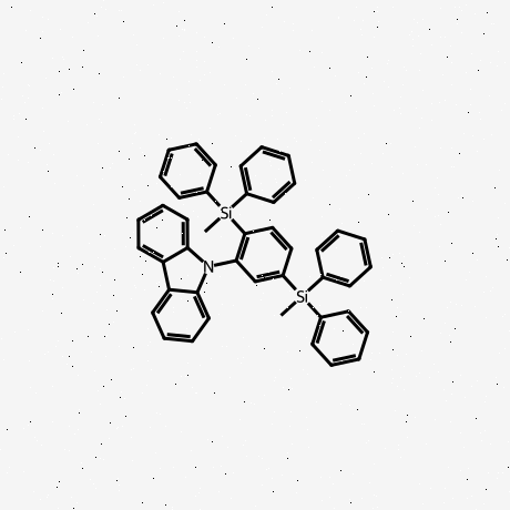 C[Si](c1ccccc1)(c1ccccc1)c1ccc([Si](C)(c2ccccc2)c2ccccc2)c(-n2c3ccccc3c3ccccc32)c1